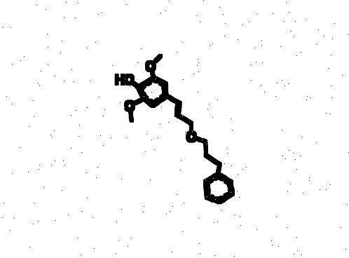 COc1cc(/C=C/COCCCc2ccccc2)cc(OC)c1O